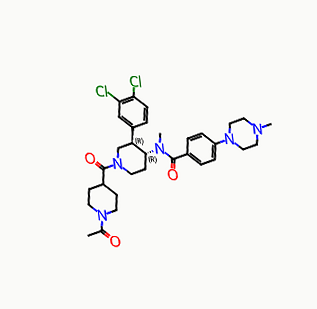 CC(=O)N1CCC(C(=O)N2CC[C@@H](N(C)C(=O)c3ccc(N4CCN(C)CC4)cc3)[C@H](c3ccc(Cl)c(Cl)c3)C2)CC1